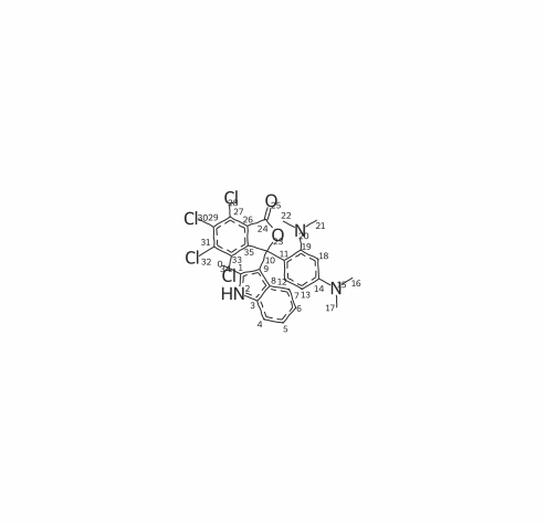 Cc1[nH]c2ccccc2c1C1(c2ccc(N(C)C)cc2N(C)C)OC(=O)c2c(Cl)c(Cl)c(Cl)c(Cl)c21